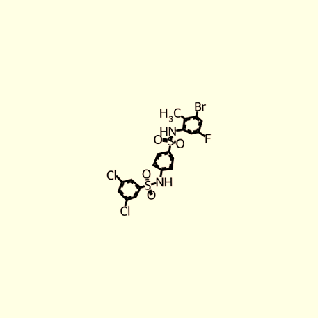 Cc1c(Br)cc(F)cc1NS(=O)(=O)c1ccc(NS(=O)(=O)c2cc(Cl)cc(Cl)c2)cc1